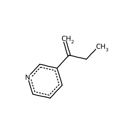 C=C(CC)c1cccnc1